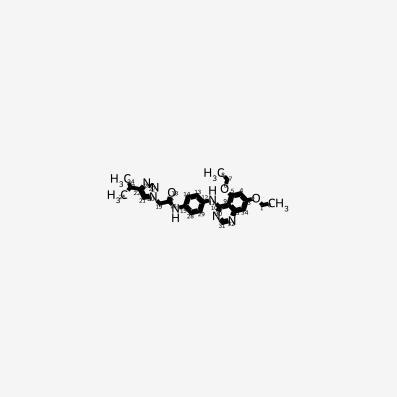 CCOc1cc(OCC)c2c(Nc3ccc(NC(=O)Cn4cc(C(C)C)nn4)cc3)ncnc2c1